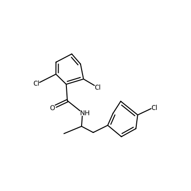 CC(Cc1ccc(Cl)cc1)NC(=O)c1c(Cl)cccc1Cl